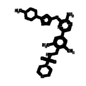 Cc1cc(-c2cnc(N)c(Oc3cnn(C4CCN(C)CC4)c3)n2)cc(C)c1CNS(=O)(=O)N1CCOCC1